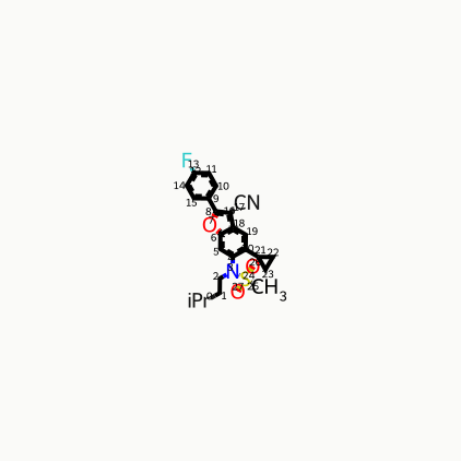 CC(C)CCN(c1cc2oc(-c3ccc(F)cc3)c(C#N)c2cc1C1CC1)S(C)(=O)=O